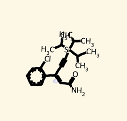 CC(C)[Si](C#C/C(=C\C(N)=O)c1ccccc1Cl)(C(C)C)C(C)C